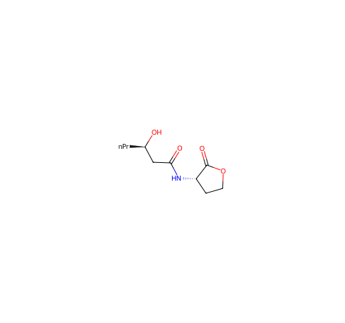 CCC[C@@H](O)CC(=O)N[C@H]1CCOC1=O